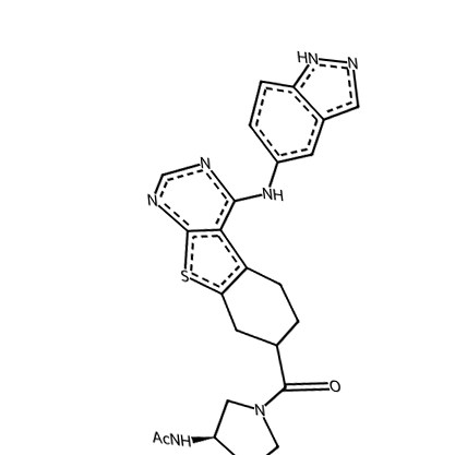 CC(=O)N[C@@H]1CCN(C(=O)C2CCc3c(sc4ncnc(Nc5ccc6[nH]ncc6c5)c34)C2)C1